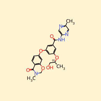 Cc1cnc(NC(=O)c2cc(Oc3ccc4c(c3)OCN(C)C4=O)cc(O[C@@H](C)CO)c2)cn1